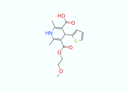 COCCOC(=O)C1=C(C)NC(C)=C(C(=O)O)C1c1cccs1